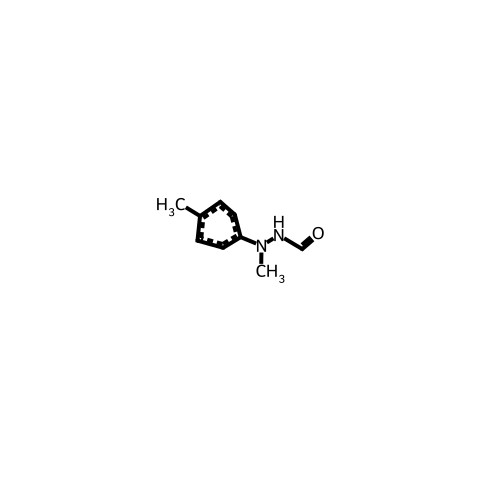 Cc1ccc(N(C)NC=O)cc1